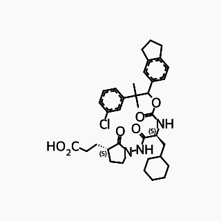 CC(C)(c1cccc(Cl)c1)C(OC(=O)N[C@@H](CC1CCCCC1)C(=O)NN1CC[C@H](CCC(=O)O)C1=O)c1ccc2c(c1)CCC2